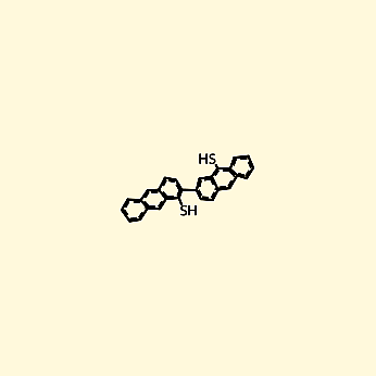 Sc1c(-c2ccc3cc4ccccc4c(S)c3c2)ccc2cc3ccccc3cc12